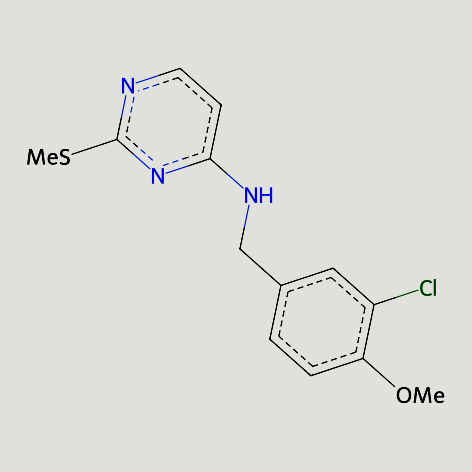 COc1ccc(CNc2ccnc(SC)n2)cc1Cl